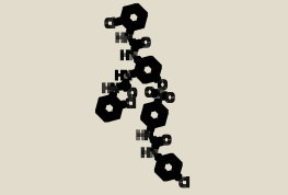 O=C(Nc1ccc(Cl)cc1)Nc1ccc(S(=O)(=O)Oc2ccc(NC(=O)Nc3ccccc3Cl)c(NC(=O)Nc3ccccc3Cl)c2)cc1